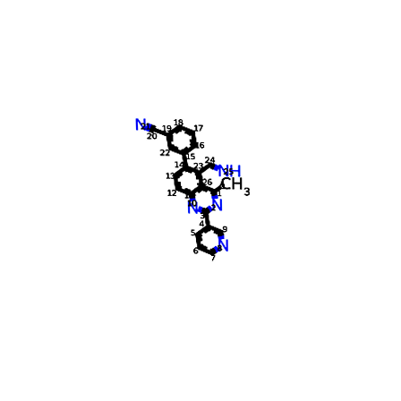 Cc1nc(-c2cccnc2)nc2ccc(-c3cccc(C#N)c3)c(C=N)c12